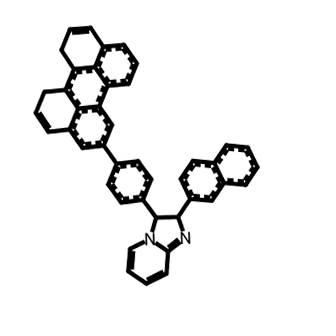 C1=CC2=NC(c3ccc4ccccc4c3)C(c3ccc(-c4cc5c6c(c7c8c(cccc8c6c4)C=CC7)CC=C5)cc3)N2C=C1